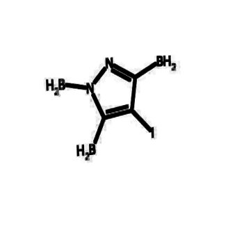 Bc1nn(B)c(B)c1I